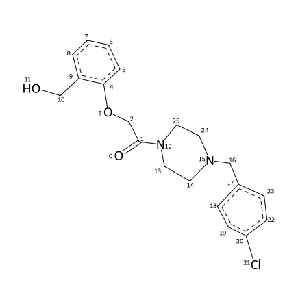 O=C(COc1ccccc1CO)N1CCN(Cc2ccc(Cl)cc2)CC1